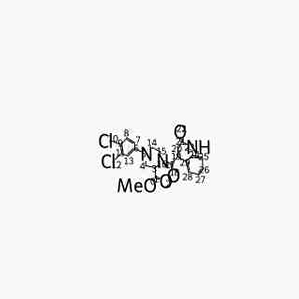 COC(=O)C1CN(c2ccc(Cl)c(Cl)c2)CCN1C(=O)c1cc(=O)[nH]c2ccccc12